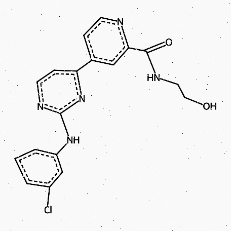 O=C(NCCO)c1cc(-c2ccnc(Nc3cccc(Cl)c3)n2)ccn1